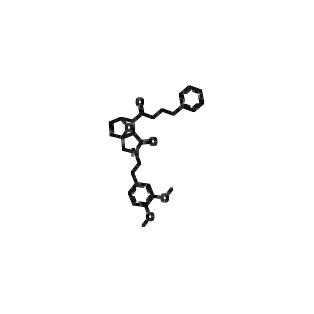 COc1ccc(CCN2CC34C=CC(O3)C(C(=O)CCCc3ccccc3)C4C2=O)cc1OC